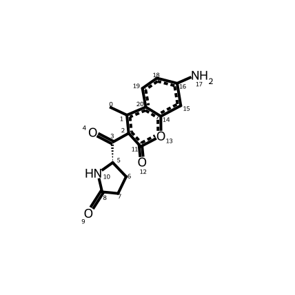 Cc1c(C(=O)[C@@H]2CCC(=O)N2)c(=O)oc2cc(N)ccc12